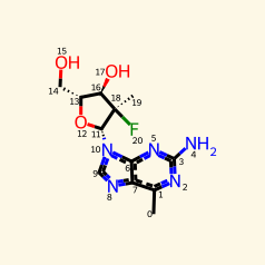 Cc1nc(N)nc2c1ncn2[C@@H]1O[C@H](CO)[C@@H](O)[C@@]1(C)F